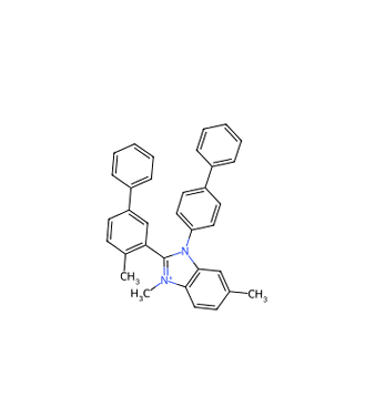 Cc1ccc2c(c1)n(-c1ccc(-c3ccccc3)cc1)c(-c1cc(-c3ccccc3)ccc1C)[n+]2C